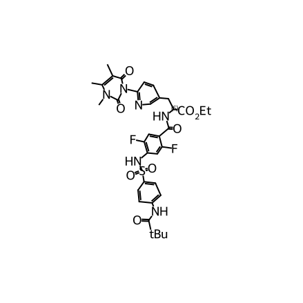 CCOC(=O)[C@H](Cc1ccc(-n2c(=O)c(C)c(C)n(C)c2=O)nc1)NC(=O)c1cc(F)c(NS(=O)(=O)c2ccc(NC(=O)C(C)(C)C)cc2)cc1F